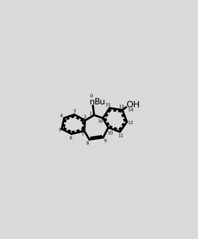 CCCCC1c2ccccc2C=Cc2ccc(O)cc21